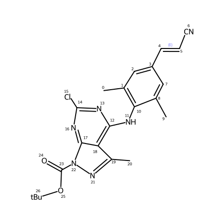 Cc1cc(/C=C/C#N)cc(C)c1Nc1nc(Cl)nc2c1c(C)nn2C(=O)OC(C)(C)C